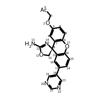 CC(=O)COc1ccc2c(c1)[C@]1(COC(N)=N1)c1cc(-c3cncnc3)ccc1O2